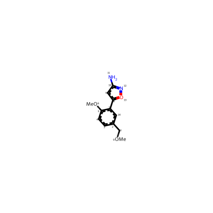 COCc1ccc(OC)c(-c2cc(N)no2)c1